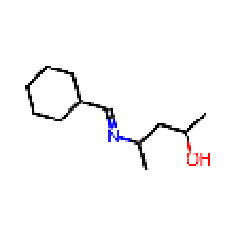 CC(O)CC(C)N=CC1CCCCC1